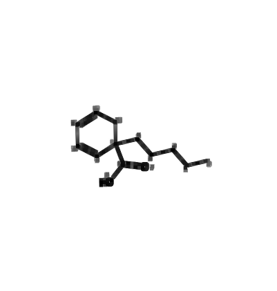 CCCCCC1(C(=O)O)C=CC=CC1